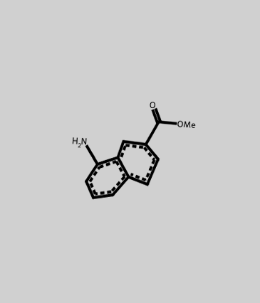 COC(=O)c1ccc2cccc(N)c2c1